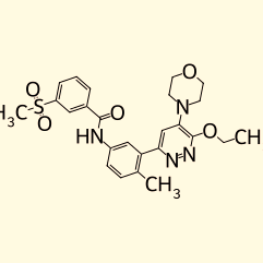 CCOc1nnc(-c2cc(NC(=O)c3cccc(S(C)(=O)=O)c3)ccc2C)cc1N1CCOCC1